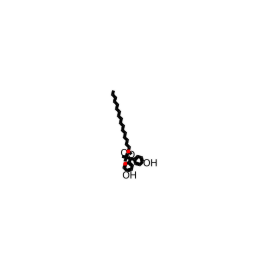 CCCCCCCCCCCCCCCCCC(=O)OC(c1ccc(O)cc1)(c1ccc(O)cc1)C(C)(C)C